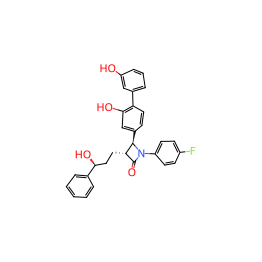 O=C1[C@H](CC[C@H](O)c2ccccc2)[C@@H](c2ccc(-c3cccc(O)c3)c(O)c2)N1c1ccc(F)cc1